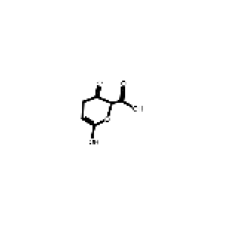 O=C(O)C1OC(O)=CCC1=O